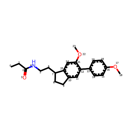 CCC(=O)NCCC1CCc2cc(-c3ccc(OC)cc3)c(OC)cc21